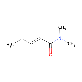 CCC=CC(=O)N(C)C